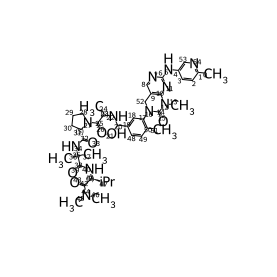 Cc1ccc(Nc2ncc3c(n2)N(C)C(=O)N(c2cc(C(O)N[C@@H](C)C(=O)N4CCC[C@H]4C(=O)NC(C)(C)C(=O)N[C@H](C(=O)N(C)C)C(C)C)ccc2C)C3)cn1